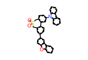 O=S1(=O)Cc2cc(-c3ccc4oc5ccccc5c4c3)ccc2-c2cc(-n3c4ccccc4c4ccccc43)ccc2C1